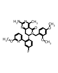 COc1ccc(CN2C(=O)c3c(C)nc(N)nc3C[C@@H]2c2ccc(F)cc2-c2cccc(OC)n2)c(OC)c1